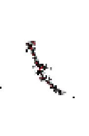 CC(C)C(NC(=O)[C@@H](CCCCNC(=O)COC1CCCCC/C(NCCOCCOCCOCCOCCC(=O)NCCSO)=C\1N)NC(=O)CCOCCOCCOCCOCCNC(=O)CCC(=O)N1Cc2ccccc2C#Cc2ccccc21)C(N)=O